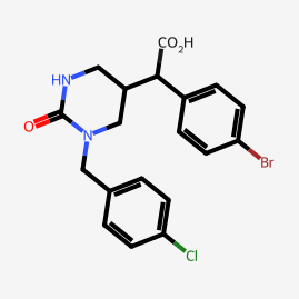 O=C(O)C(c1ccc(Br)cc1)C1CNC(=O)N(Cc2ccc(Cl)cc2)C1